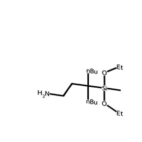 CCCCC(CCN)(CCCC)[Si](C)(OCC)OCC